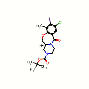 Cc1c(I)c(Cl)cc2c1OC[C@H]1CN(C(=O)OC(C)(C)C)CCN1C2=O